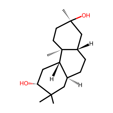 CC1(C)C[C@@H]2CC[C@H]3C[C@](C)(O)CC[C@]3(C)[C@H]2C[C@H]1O